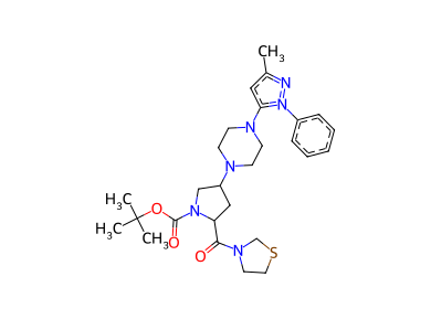 Cc1cc(N2CCN(C3CC(C(=O)N4CCSC4)N(C(=O)OC(C)(C)C)C3)CC2)n(-c2ccccc2)n1